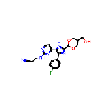 N#CCCNc1nccc(-c2[nH]c(C3OCC(CO)CO3)nc2-c2ccc(F)cc2)n1